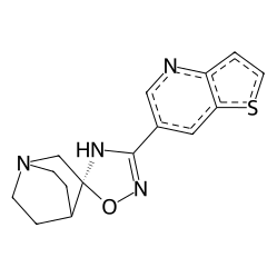 c1cc2ncc(C3=NO[C@@]4(CN5CCC4CC5)N3)cc2s1